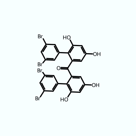 O=C(c1cc(O)cc(O)c1-c1cc(Br)cc(Br)c1)c1cc(O)cc(O)c1-c1cc(Br)cc(Br)c1